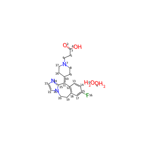 O.O.O=C(O)CCN1CCC(=C2c3ccc(F)cc3CCn3ccnc32)CC1